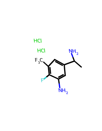 CC(N)c1cc(N)c(F)c(C(F)(F)F)c1.Cl.Cl